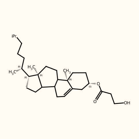 CC(C)CCC[C@@H](C)[C@H]1CCC2C3CC=C4C[C@@H](OC(=O)CCO)CC[C@]4(C)C3CC[C@@]21C